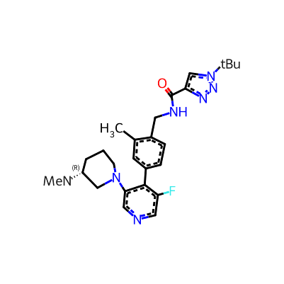 CN[C@@H]1CCCN(c2cncc(F)c2-c2ccc(CNC(=O)c3cn(C(C)(C)C)nn3)c(C)c2)C1